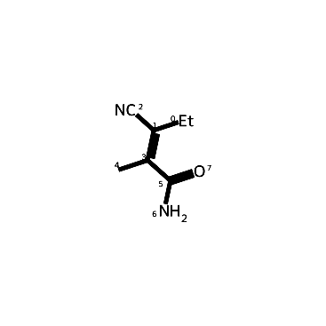 CCC(C#N)=C(C)C(N)=O